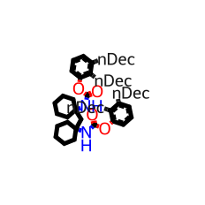 CCCCCCCCCCc1cccc(OC(=O)NC2(CC3(NC(=O)Oc4cccc(CCCCCCCCCC)c4CCCCCCCCCC)CCCCC3)CCCCC2)c1CCCCCCCCCC